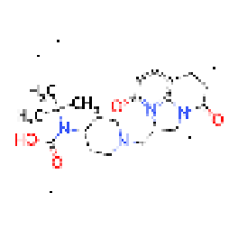 CC(C)(C)N(C(=O)O)C1CCN(CC2CN3C(=O)CCc4ccc(=O)n2c43)CC1